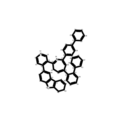 C1=Cc2c(oc3ccc(-c4ccncc4C4=NC(c5ccc(-c6ccccc6)cc5)=CC(c5ccccc5-c5ccccc5)=CC4)cc23)CC1